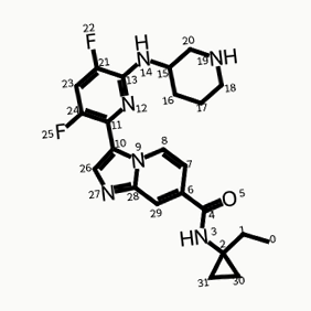 CCC1(NC(=O)c2ccn3c(-c4nc(NC5CCCNC5)c(F)cc4F)cnc3c2)CC1